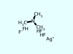 CN(C)C.F.F.F.[Ag+].[F-]